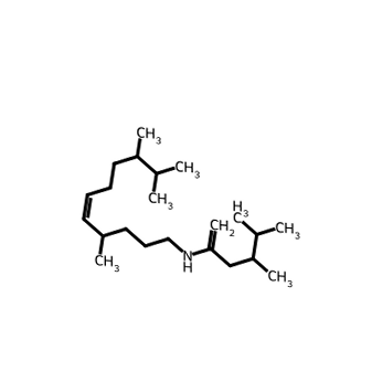 C=C(CC(C)C(C)C)NCCCC(C)/C=C\CCC(C)C(C)C